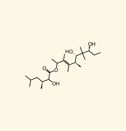 CC[C@H](O)C(C)(C)[C@@H](O)[C@@H](C)/C(C)=C(\C)C(C)OC(=O)C(O)[C@@H](C)CC(C)C